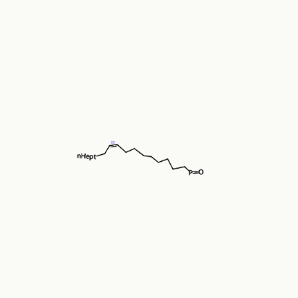 CCCCCCCC/C=C\CCCCCCCCP=O